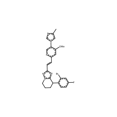 COc1cc(/C=C/c2nc3n(n2)CCCC3c2ccc(F)cc2Br)ncc1-n1cnc(C)c1